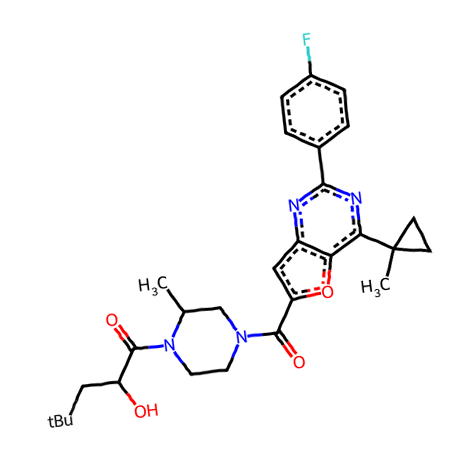 CC1CN(C(=O)c2cc3nc(-c4ccc(F)cc4)nc(C4(C)CC4)c3o2)CCN1C(=O)C(O)CC(C)(C)C